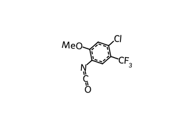 COc1cc(Cl)c(C(F)(F)F)cc1N=C=O